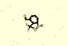 O=Cc1cccc([N+](=O)[O-])c1C(F)(F)F